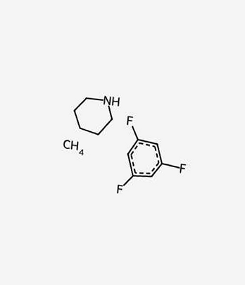 C.C1CCNCC1.Fc1cc(F)cc(F)c1